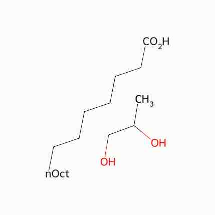 CC(O)CO.CCCCCCCCCCCCCCC(=O)O